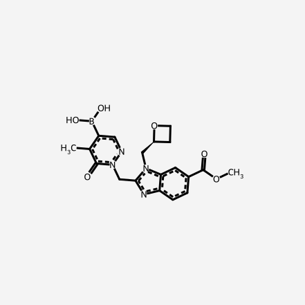 COC(=O)c1ccc2nc(Cn3ncc(B(O)O)c(C)c3=O)n(C[C@@H]3CCO3)c2c1